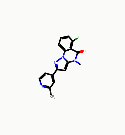 Cn1c(=O)c2c(F)cccc2n2nc(-c3ccnc(C(F)(F)F)c3)cc12